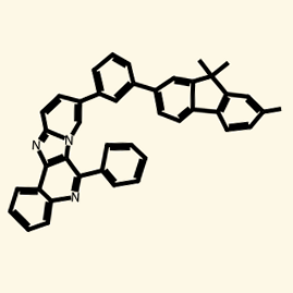 Cc1ccc2c(c1)C(C)(C)c1cc(-c3cccc(-c4ccc5nc6c7ccccc7nc(-c7ccccc7)c6n5c4)c3)ccc1-2